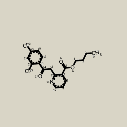 CCCCOC(=O)c1cccnc1CC(=O)c1ccc(Cl)cc1Cl